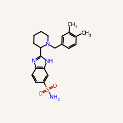 Cc1ccc(CN2CCCCC2c2nc3ccc(S(N)(=O)=O)cc3[nH]2)cc1C